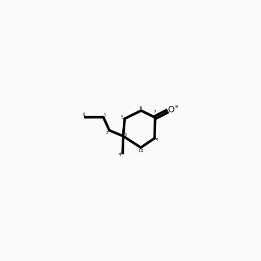 CCCC1(C)CCC(=O)CC1